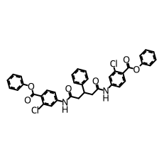 O=C(CC(CC(=O)Nc1ccc(C(=O)Oc2ccccc2)c(Cl)c1)c1ccccc1)Nc1ccc(C(=O)Oc2ccccc2)c(Cl)c1